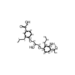 CCCc1cc(C(=O)CO)ccc1OCC(O)COc1ccc(C(C)=O)c(N)c1CCC